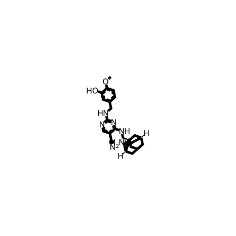 COc1ccc(CNc2ncc(C#N)c(NC[C@]34CC5C[C@H](C3)[C@@H](N)[C@@H](C5)C4)n2)cc1O